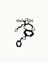 COC(=O)[C@@]1(CCCCl)Sc2cc(OCc3ccccc3)ccc2OC[C@@H]1O